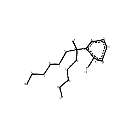 CCCCCCC(C)(CCCCC)c1ccccc1F